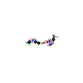 Cc1ncsc1-c1ccc(CNC(=O)[C@@H]2C[C@@H](O)CN2C(=O)[C@@H](NC(=O)COCCCCOc2c(F)cc(-c3ncc(N4C(=S)N(c5ccc(C#N)c(C(F)(F)F)c5F)C(O)C4(C)C)cc3F)cc2F)C(C)(C)C)cc1